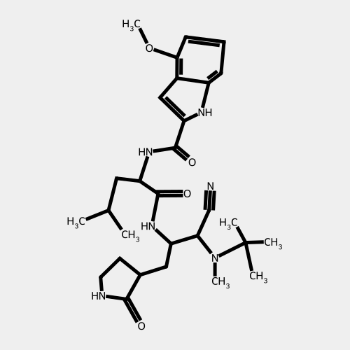 COc1cccc2[nH]c(C(=O)NC(CC(C)C)C(=O)NC(CC3CCNC3=O)C(C#N)N(C)C(C)(C)C)cc12